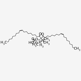 CCCCCCCC/C=C\CCCCCCCC(=O)C(C(=O)CCCCCCC/C=C\CCCCCCCC)(C(CC)OP(=O)([O-])O)[N+](C)(C)C